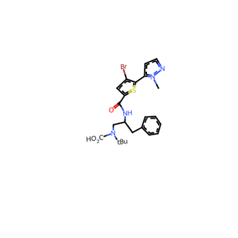 Cn1nccc1-c1sc(C(=O)NC(Cc2ccccc2)CN(C(=O)O)C(C)(C)C)cc1Br